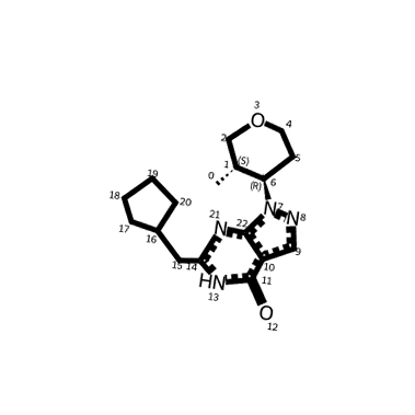 C[C@@H]1COCC[C@H]1n1ncc2c(=O)[nH]c(CC3CCCC3)nc21